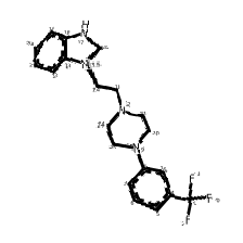 FC(F)(F)c1cccc(N2CCN(CCN3CNc4ccccc43)CC2)c1